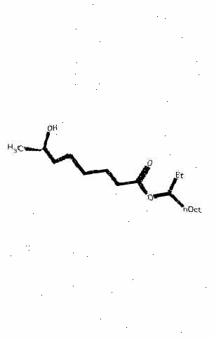 CCCCCCCCC(CC)OC(=O)CCCCC[C@@H](C)O